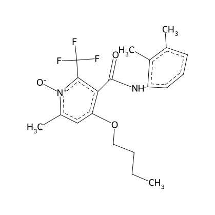 CCCCOc1cc(C)[n+]([O-])c(C(F)(F)F)c1C(=O)Nc1cccc(C)c1C